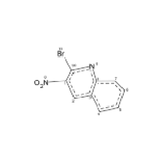 O=[N+]([O-])c1cc2ccccc2nc1Br